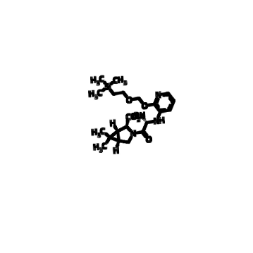 CC(C)(C)[C@H](Nc1cccnc1OCOCC[Si](C)(C)C)C(=O)N1C[C@H]2[C@@H]([C@H]1C(=O)O)C2(C)C